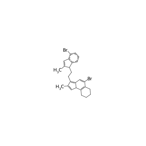 CC1=CC2C(=C1CCC1C(C)=Cc3c(Br)cccc31)C=C(Br)C1=C2CCCC1